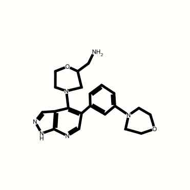 NCC1CN(c2c(-c3cccc(N4CCOCC4)c3)cnc3[nH]ncc23)CCO1